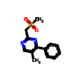 Cc1cnc(CS(C)(=O)=O)nc1-c1ccccc1